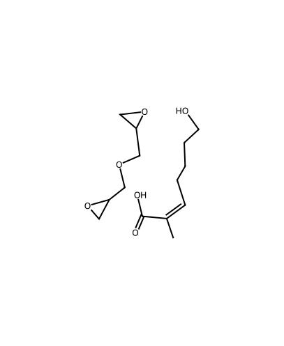 C(OCC1CO1)C1CO1.CC(=CCCCCO)C(=O)O